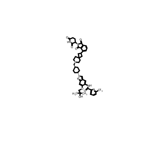 CC(C)(O)COc1cc2nn([C@H]3CC[C@H](CN4CCC5(CC4)CC(c4cccc6c4C(=O)N(C4CCC(=O)NC4=O)C6=O)C5)CC3)cc2cc1NC(=O)c1cccc(C(F)(F)F)n1